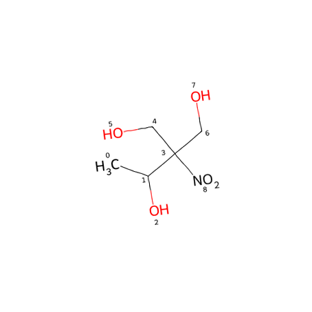 CC(O)C(CO)(CO)[N+](=O)[O-]